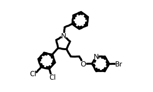 Clc1ccc(C2CN(Cc3ccccc3)CC2CCOc2ccc(Br)cn2)cc1Cl